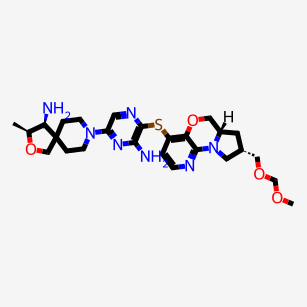 COCOC[C@H]1C[C@H]2COc3c(Sc4ncc(N5CCC6(CC5)CO[C@@H](C)[C@H]6N)nc4N)ccnc3N2C1